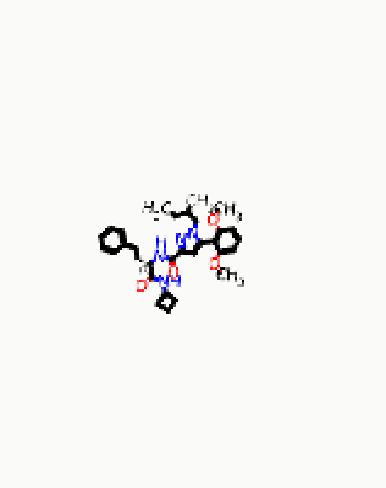 CCC(C)Cn1nc(C(=O)N[C@@H](CCc2ccccc2)C(=O)NC2CCC2)cc1-c1c(OC)cccc1OC